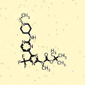 CSN1CCC(Nc2nccc(-c3sc(N(C)C(=O)OC(C)(C)C)nc3C(F)(F)F)n2)CC1